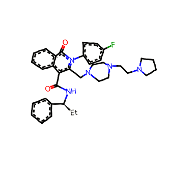 CC[C@H](NC(=O)c1c(CN2CCN(CCN3CCCC3)CC2)n(-c2ccc(F)cc2)c(=O)c2ccccc12)c1ccccc1